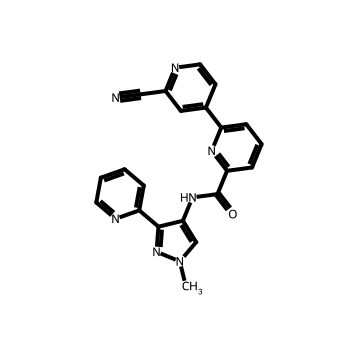 Cn1cc(NC(=O)c2cccc(-c3ccnc(C#N)c3)n2)c(-c2ccccn2)n1